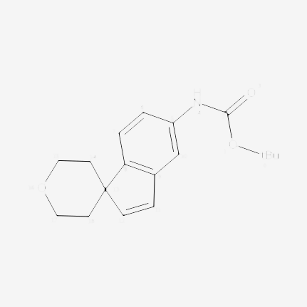 CC(C)(C)OC(=O)Nc1ccc2c(c1)C=CC21CCOCC1